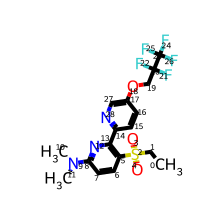 CCS(=O)(=O)c1ccc(N(C)C)nc1-c1ccc(OCC(F)(F)C(F)(F)F)cn1